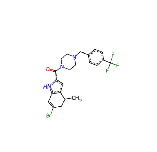 CC1CC(Br)=Cc2[nH]c(C(=O)N3CCN(Cc4ccc(C(F)(F)F)cc4)CC3)cc21